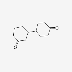 O=C1CCC(C2CCCC(=O)C2)CC1